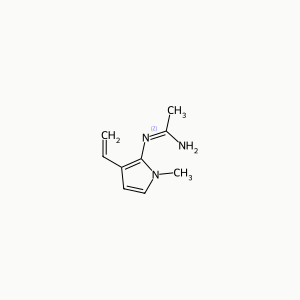 C=Cc1ccn(C)c1/N=C(/C)N